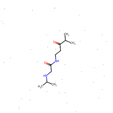 CC(C)NCC(=O)NCCC(=O)C(C)C